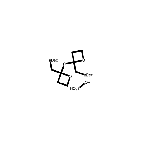 CCCCCCCCCCCC1(OC2(CCCCCCCCCCC)CCO2)CCO1.O=S(=O)(O)O